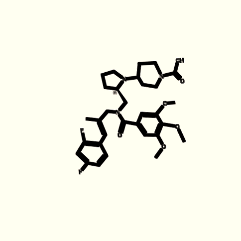 COc1cc(C(=O)N(CC(C)=Cc2ccc(F)cc2F)C[C@H]2CCCN2C2CCN(C(=O)O)CC2)cc(OC)c1OC